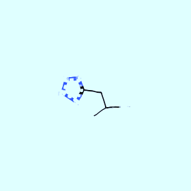 CCCC(C)C(C)Cc1nn[nH]n1